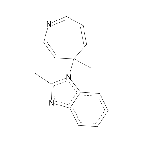 Cc1nc2ccccc2n1C1(C)C=CC=NC=C1